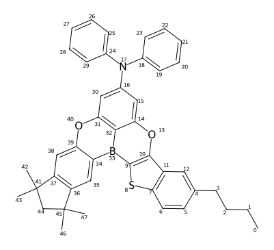 CCCCc1ccc2sc3c(c2c1)Oc1cc(N(c2ccccc2)c2ccccc2)cc2c1B3c1cc3c(cc1O2)C(C)(C)CC3(C)C